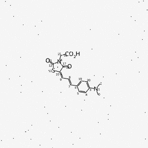 CN(C)c1ccc(C=CC=C2SC(=O)N(CC(=O)O)C2=O)cc1